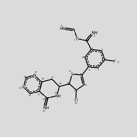 N=COC(=N)c1cc(F)cc(C2=CC(Cl)C(C3Cc4ncncc4C(=N)N3)S2)c1